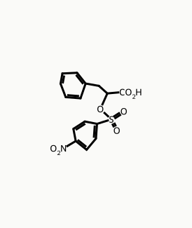 O=C(O)C(Cc1ccccc1)OS(=O)(=O)c1ccc([N+](=O)[O-])cc1